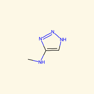 CNc1c[nH]nn1